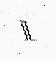 CCCCCCCCCCCCCCCCCC(=O)O.CCCCCCCCCCCCCCCCCCC(=O)O